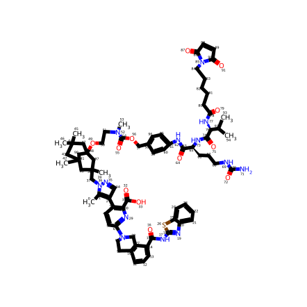 Cc1c(-c2ccc(N3CCc4cccc(C(=O)Nc5nc6ccccc6s5)c4C3)nc2C(=O)O)cnn1CC1(C)CC2(C)CC(C)(C)CC(OCCN(C)C(=O)OCc3ccc(NC(=O)[C@H](CCCNC(N)=O)NC(=O)[C@@H](NC(=O)CCCCCN4C(=O)C=CC4=O)C(C)C)cc3)(C1)C2